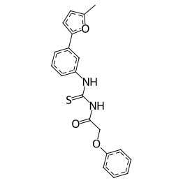 Cc1ccc(-c2cccc(NC(=S)NC(=O)COc3ccccc3)c2)o1